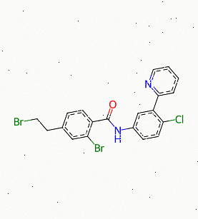 O=C(Nc1ccc(Cl)c(-c2ccccn2)c1)c1ccc(CCBr)cc1Br